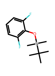 CC(C)(C)[Si](C)(C)Oc1c(F)cccc1F